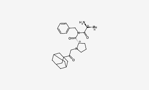 CC[C@H](C)[C@H](N)C(=O)N(Cc1ccccc1)C(=O)[C@@H]1CCCN1CC(=O)C12CC3CC(CC(C3)C1)C2